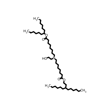 CCCCCCC(CCCCCC)CCOC(=O)CCCCCCCN(CCO)CCCCCCCC(=O)OC(CCCCCC)CCCCCC